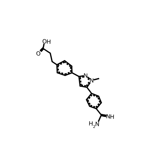 Cn1nc(-c2ccc(CCC(=O)O)cc2)cc1-c1ccc(C(=N)N)cc1